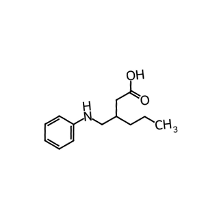 CCCC(CNc1ccccc1)CC(=O)O